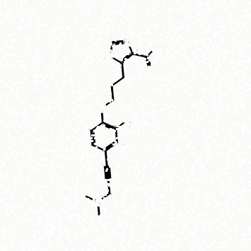 CN(C)CC#Cc1ccc(OCCCc2scnc2C(=O)O)c(Br)c1